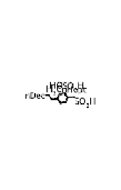 CCCCCCCC.CCCCCCCCCCCCc1ccc(CS(=O)(=O)O)cc1.O=S(=O)(O)O